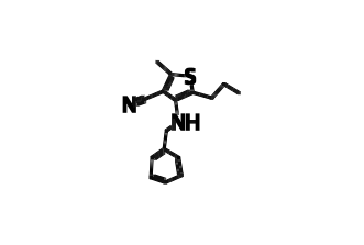 CCCc1sc(C)c(C#N)c1NCc1ccccc1